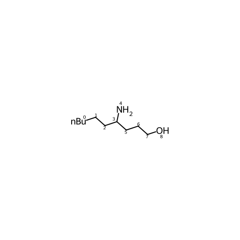 CCCCCCC(N)CCCO